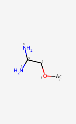 CC(=O)OCC(N)N